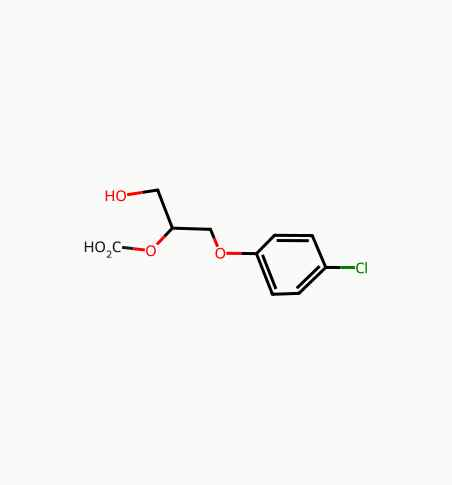 O=C(O)OC(CO)COc1ccc(Cl)cc1